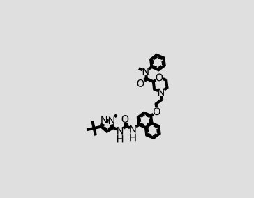 CN(C(=O)C1CN(CCOc2ccc(NC(=O)Nc3cc(C(C)(C)C)nn3C)c3ccccc23)CCO1)c1ccccc1